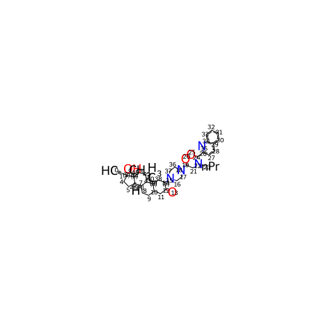 C#C[C@]1(O)CCC2[C@@H]3CCC4CC(=O)[C@@H](N5CCN(C(=O)CN(CCC)C(=O)c6ccc7ccccc7n6)CC5)C[C@]4(C)C3CC[C@@]21C